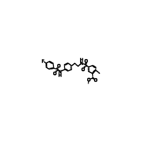 COC(=O)c1cc(S(=O)(=O)NCCc2ccc(NS(=O)(=O)c3ccc(F)cc3)cc2)ccc1C